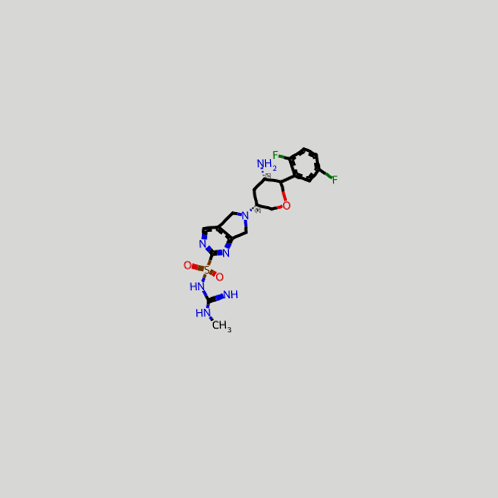 CNC(=N)NS(=O)(=O)c1ncc2c(n1)CN([C@H]1COC(c3cc(F)ccc3F)[C@@H](N)C1)C2